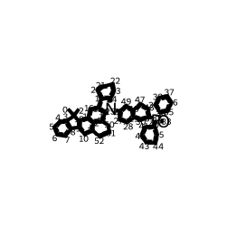 CC1(C)c2ccccc2-c2cc3c4c(c5c(cc4c21)c1ccccc1n5-c1ccc2cc(P(=O)(c4ccccc4)c4ccccc4)ccc2c1)CC=C3